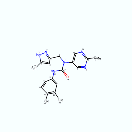 COc1ncc(N(Cc2cc(C(F)(F)F)[nH]n2)C(=O)Nc2ccc(C#N)c(C#N)c2)cn1